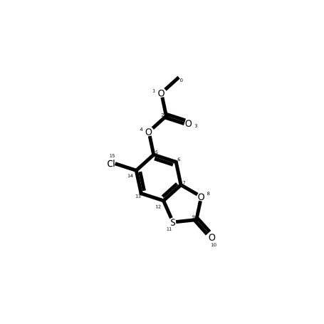 COC(=O)Oc1cc2oc(=O)sc2cc1Cl